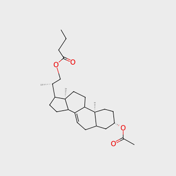 CCCC(=O)OC[C@@H](C)C1CCC2C3=CCC4C[C@@H](OC(C)=O)CC[C@]4(C)C3CC[C@@]21C